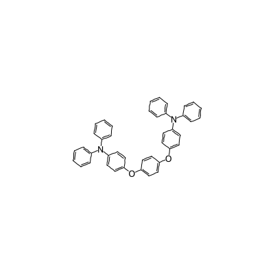 c1ccc(N(c2ccccc2)c2ccc(Oc3ccc(Oc4ccc(N(c5ccccc5)c5ccccc5)cc4)cc3)cc2)cc1